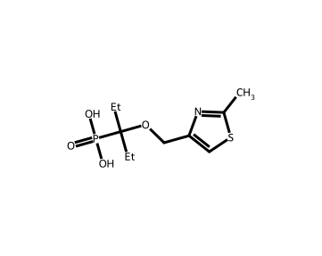 CCC(CC)(OCc1csc(C)n1)P(=O)(O)O